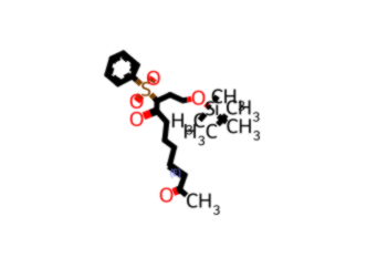 CC(=O)/C=C/CCCC(=O)C(CCO[Si](C)(C)C(C)(C)C)S(=O)(=O)c1ccccc1